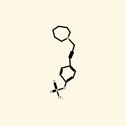 O=S(=O)(Oc1ccc(C#CCN2CCCCCC2)cc1)C(F)(F)F